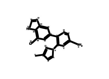 Cc1ccn(-c2nc(N)cnc2-c2cc(Cl)c3[nH]cnc3c2)n1